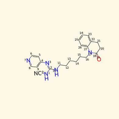 N#CNC(=Nc1ccncc1)NCCCCCCN1C(=O)CCc2ccccc21